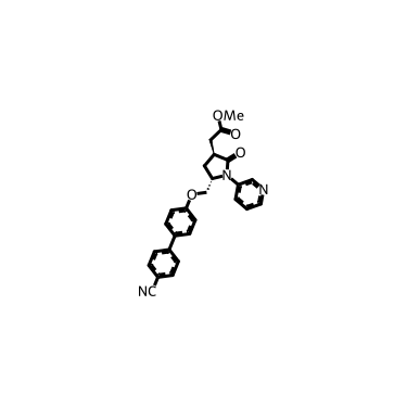 COC(=O)C[C@@H]1C[C@@H](COc2ccc(-c3ccc(C#N)cc3)cc2)N(c2cccnc2)C1=O